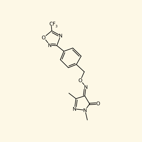 CC1=NN(C)C(=O)C1=NOCc1ccc(-c2noc(C(F)(F)F)n2)cc1